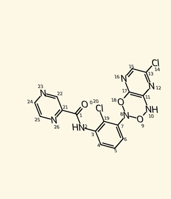 O=C(Nc1cccc(-n2o[nH]c3nc(Cl)cnc3o2)c1Cl)c1cnccn1